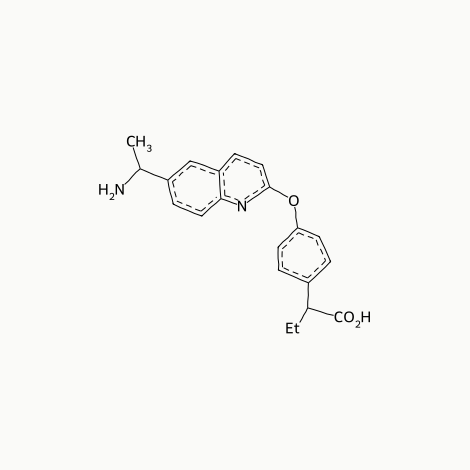 CCC(C(=O)O)c1ccc(Oc2ccc3cc(C(C)N)ccc3n2)cc1